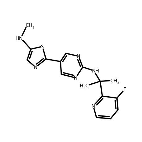 CNc1cnc(-c2cnc(NC(C)(C)c3ncccc3F)nc2)s1